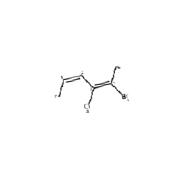 C/C=C\C(Cl)=C(/C)Br